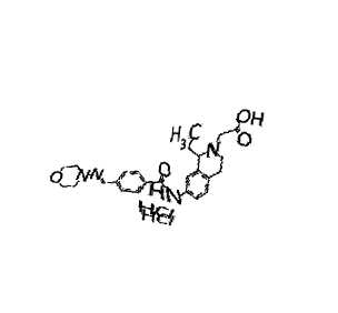 CCC1c2cc(NC(=O)c3ccc(C=NN4CCOCC4)cc3)ccc2CCN1CC(=O)O.Cl.Cl